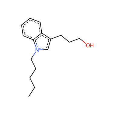 CCCCCn1cc(CCCO)c2ccccc21